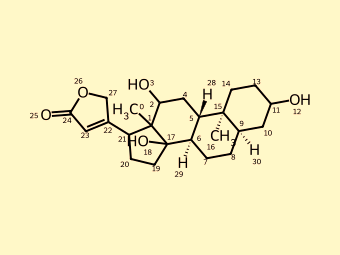 CC12C(O)C[C@H]3[C@@H](CC[C@@H]4CC(O)CC[C@@]43C)C1(O)CCC2C1=CC(=O)OC1